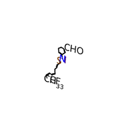 C/C=C\C(=C/C/C=C/CSN(I)C1=CCCC(C=O)=C1)C(F)(F)F